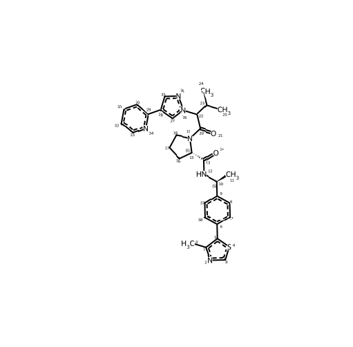 Cc1ncsc1-c1ccc([C@H](C)NC(=O)[C@@H]2CCCN2C(=O)C(C(C)C)n2cc(-c3ccccn3)cn2)cc1